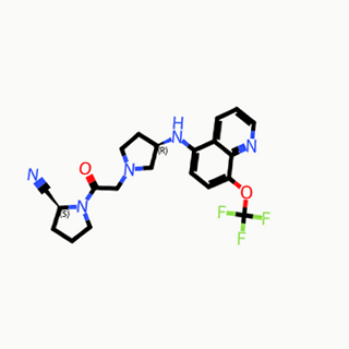 N#C[C@@H]1CCCN1C(=O)CN1CC[C@@H](Nc2ccc(OC(F)(F)F)c3ncccc23)C1